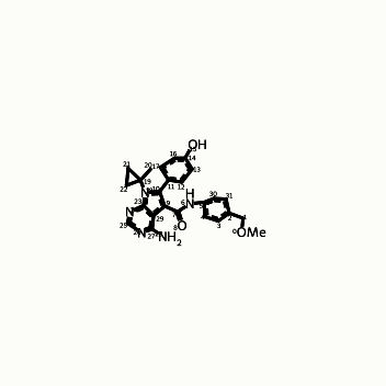 COCc1ccc(NC(=O)c2c(-c3ccc(O)cc3)n(C3(C)CC3)c3ncnc(N)c23)cc1